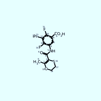 CC1=C(C(=O)Nc2cc(C(=O)O)c(F)c(C(C)C)c2F)SCCO1